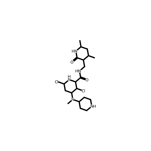 CC1CC(C)C(CNC(=O)C2NC(Cl)CC(N(C)C3CCNCC3)C2Cl)C(=O)N1